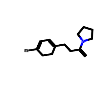 C=C(CCC1=CC=C(CC)CC1)N1CCCC1